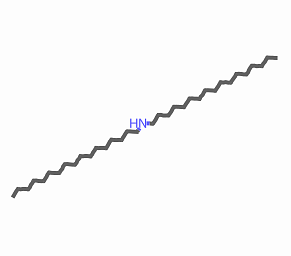 CCCCCCCCCCCCCCCCCNCCCCCCCCCCCCCCCCC